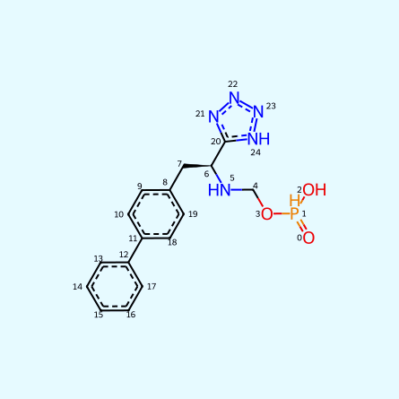 O=[PH](O)OCN[C@@H](Cc1ccc(-c2ccccc2)cc1)c1nnn[nH]1